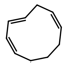 [CH]1/C=C\C=C\C/C=C\CC1